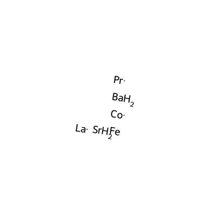 [BaH2].[Co].[Fe].[La].[Pr].[SrH2]